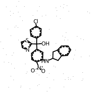 O=[N+]([O-])c1ccc(C(O)(c2ccc(Cl)cc2)c2nccs2)cc1NC1Cc2ccccc2C1